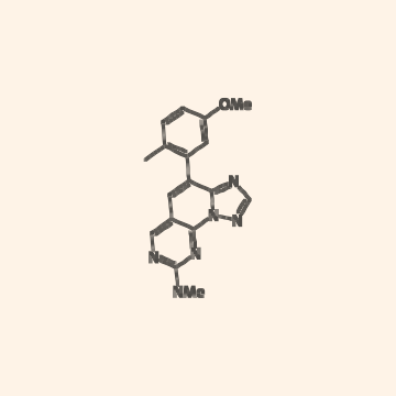 CNc1ncc2cc(-c3cc(OC)ccc3C)c3ncnn3c2n1